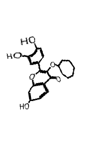 O=c1c(OC2CCCCCC2)c(-c2ccc(O)c(O)c2)oc2cc(O)ccc12